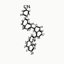 N#Cc1ccc(-c2ccc3ccc(-c4ccc5cccc(-c6ccc7ccc8cccnc8c7n6)c5c4)cc3c2)cc1